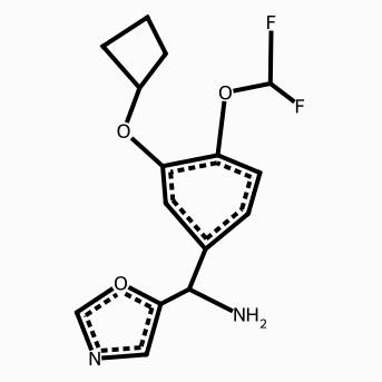 NC(c1ccc(OC(F)F)c(OC2CCC2)c1)c1cnco1